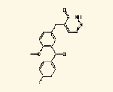 COc1ccc(Cc2ccn[nH]c2=O)cc1C(=O)c1ccc(C)cc1